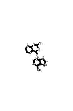 Nc1nc2nccnc2c(=O)[nH]1.Nc1ncnc2nc[nH]c12